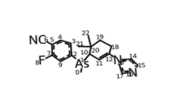 C[As](c1ccc(C#N)c(F)c1)C1C=C(n2ccnc2)CCC1(C)C